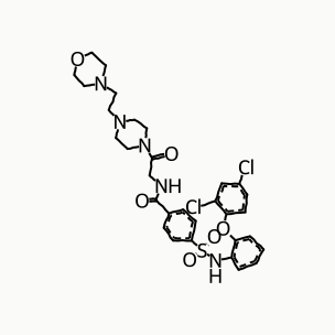 O=C(NCC(=O)N1CCN(CCN2CCOCC2)CC1)c1ccc(S(=O)(=O)Nc2ccccc2Oc2ccc(Cl)cc2Cl)cc1